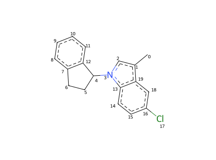 Cc1cn(C2CCc3ccccc32)c2ccc(Cl)cc12